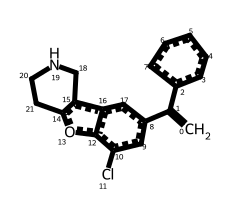 C=C(c1ccccc1)c1cc(Cl)c2oc3c(c2c1)CNCC3